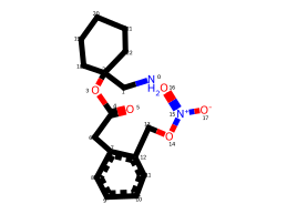 NCC1(OC(=O)Cc2cc[c]cc2CO[N+](=O)[O-])CCCCC1